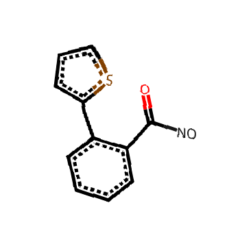 O=NC(=O)c1ccccc1-c1cccs1